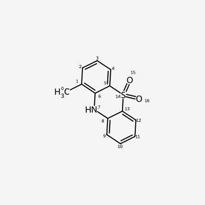 Cc1cccc2c1Nc1ccccc1S2(=O)=O